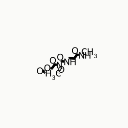 CNC(=O)CCNC(=O)N(OC)C(=O)CO[C]=O